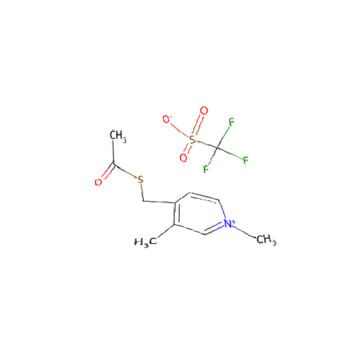 CC(=O)SCc1cc[n+](C)cc1C.O=S(=O)([O-])C(F)(F)F